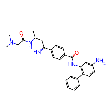 C[C@@H](CC(=N)c1ccc(C(=O)Nc2cc(N)ccc2-c2ccccc2)cc1)NC(=O)CN(C)C